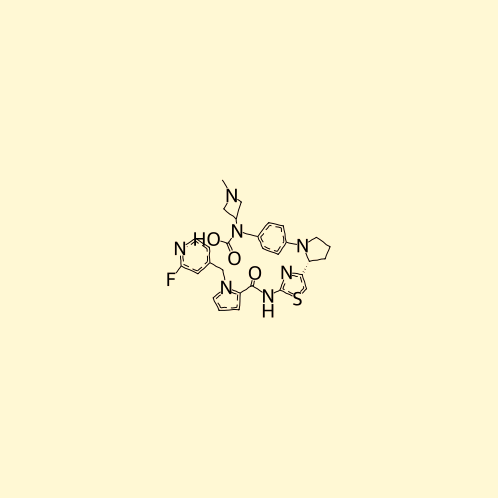 CN1CC(N(C(=O)O)c2ccc(N3CCC[C@@H]3c3csc(NC(=O)c4cccn4Cc4ccnc(F)c4)n3)cc2)C1